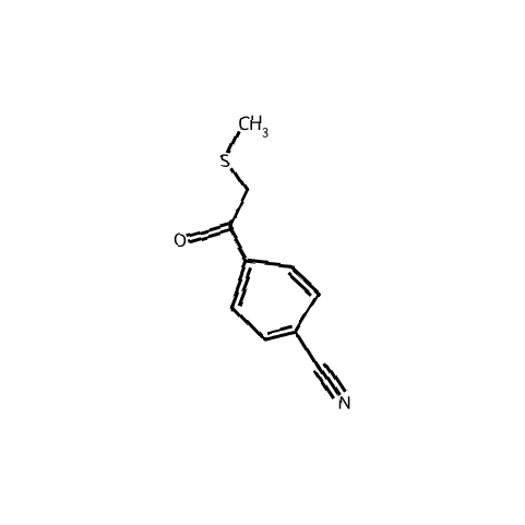 CSCC(=O)c1ccc(C#N)cc1